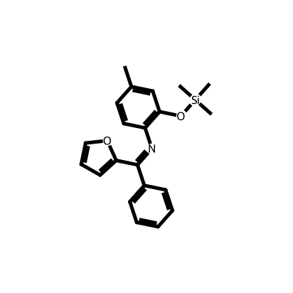 Cc1ccc(N=C(c2ccccc2)c2ccco2)c(O[Si](C)(C)C)c1